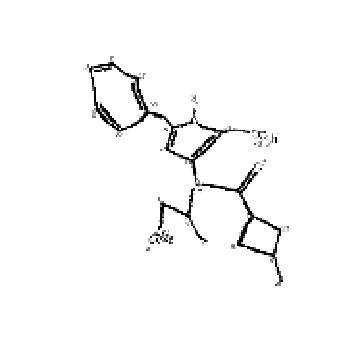 COCC(C)N(C(=O)C1CC(C)C1)c1cc(-c2ccccc2)sc1C(=O)O